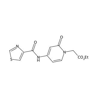 CCOC(=O)Cn1ccc(NC(=O)c2cscn2)cc1=O